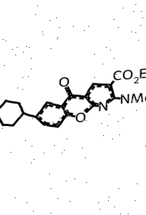 CCOC(=O)c1cc2c(=O)c3cc(C4CCCCC4)ccc3oc2nc1NC